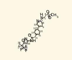 CS(=O)(=O)CCNc1ccc(-c2ccc(CC(=O)Nc3cc(C4(C(F)(F)F)CC4)on3)cc2)cn1